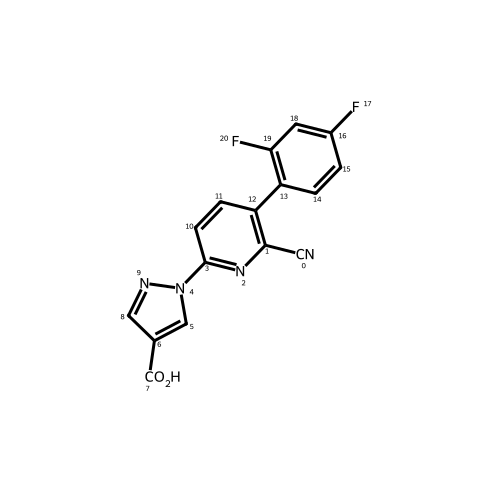 N#Cc1nc(-n2cc(C(=O)O)cn2)ccc1-c1ccc(F)cc1F